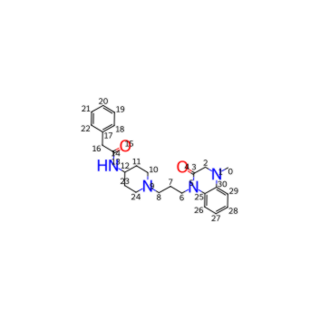 CN1CC(=O)N(CCCN2CCC(NC(=O)Cc3ccccc3)CC2)c2ccccc21